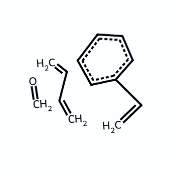 C=CC=C.C=Cc1ccccc1.C=O